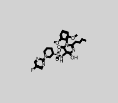 CCCCc1nc(O)c(NS(=O)(=O)[C@@H]2CCCN(c3ncc(F)cn3)C2)c(=O)n1-c1c(OC)cccc1OC